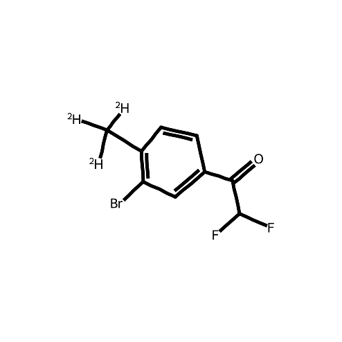 [2H]C([2H])([2H])c1ccc(C(=O)C(F)F)cc1Br